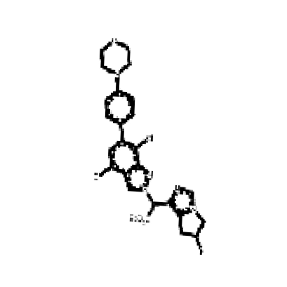 CCOC(=O)C(c1ncn2c1CC(F)C2)n1cc2c(Cl)cc(-c3ccc(N4CCOCC4)cc3)c(Cl)c2n1